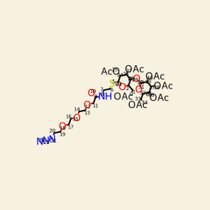 CC(=O)OCC1O[C@@H](SCCNC(=O)COCCOCCOCCN=[N+]=[N-])C(OC(C)=O)C(OC(C)=O)[C@@H]1O[C@@H]1OC(COC(C)=O)[C@H](OC(C)=O)C(OC(C)=O)C1OC(C)=O